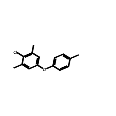 Cc1ccc(Oc2cc(C)c(Cl)c(C)c2)cc1